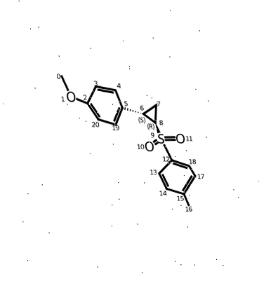 COc1ccc([C@@H]2C[C@H]2S(=O)(=O)c2ccc(C)cc2)cc1